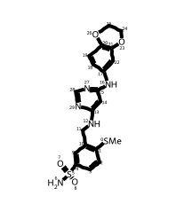 CSc1ccc(S(N)(=O)=O)cc1CNc1cc(Nc2ccc3c(c2)OCCO3)ncn1